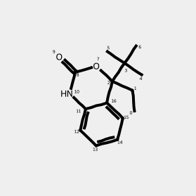 CCC1(C(C)(C)C)OC(=O)Nc2ccccc21